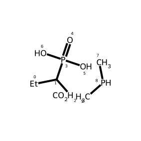 CCC(C(=O)O)P(=O)(O)O.CPC